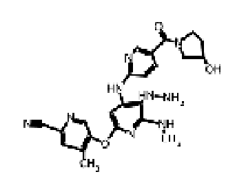 CNc1nc(Oc2cnc(C#N)cc2C)cc(Nc2ccc(C(=O)N3CCC(O)C3)cn2)c1NN